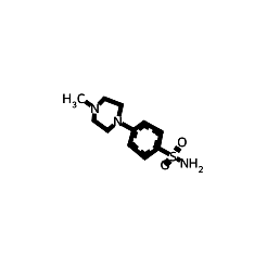 CN1CCN(c2ccc(S(N)(=O)=O)cc2)CC1